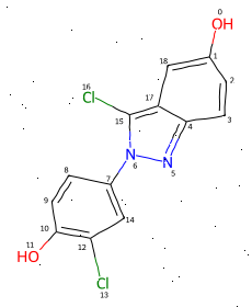 Oc1ccc2nn(-c3ccc(O)c(Cl)c3)c(Cl)c2c1